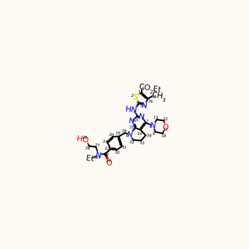 CCOC(=O)c1sc(Nc2nc(N3CCOCC3)c3c(n2)N(Cc2ccc(C(=O)N(CC)CCO)cc2)CCC3)nc1C